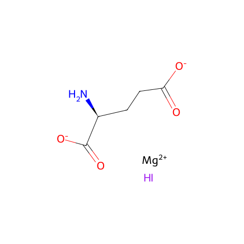 I.N[C@@H](CCC(=O)[O-])C(=O)[O-].[Mg+2]